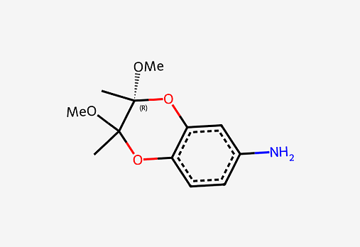 COC1(C)Oc2ccc(N)cc2O[C@@]1(C)OC